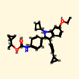 CCOc1ccc2c(C#CC3CC3)c(-c3ccc(NC(=O)OC(C)C4CC4)cc3)n(C3CCC3)c2c1